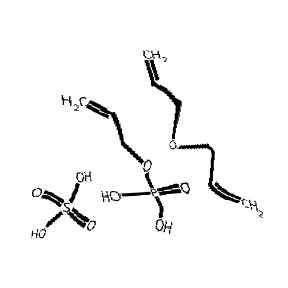 C=CCOCC=C.C=CCOP(=O)(O)O.O=S(=O)(O)O